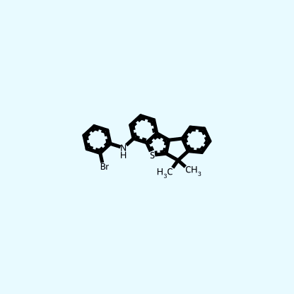 CC1(C)c2ccccc2-c2c1sc1c(Nc3ccccc3Br)cccc21